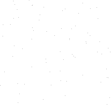 CC(C)CCCCC(=O)O.CC(C)CCCCC(=O)O.CCO.CCO.CCO